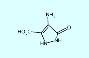 Nc1c(C(=O)O)[nH][nH]c1=O